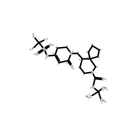 CC(C)(C)OC(=O)N1CCC(CN2CCC(OS(=O)(=O)C(F)(F)F)=CC2=O)C2(CCCC2)C1